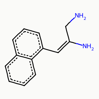 NC/C(N)=C\c1cccc2ccccc12